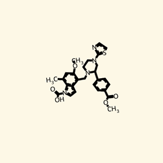 COC(=O)c1ccc(C2CN(c3nccs3)CCN2Cc2c(OC)cc(C)c3c2ccn3C(=O)O)cc1